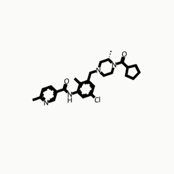 Cc1ccc(C(=O)Nc2cc(Cl)cc(CN3CCN(C(=O)C4CCCC4)[C@@H](C)C3)c2C)cn1